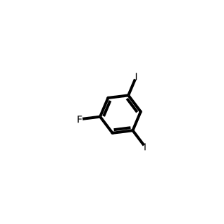 Fc1cc(I)cc(I)c1